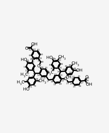 Cc1cc(C(c2cc(C)c(O)cc2C)c2cc(Cc3ccc(OCc4ccc(C(=O)O)cc4)c(C(c4cc(C)c(O)cc4C)c4cc(C)c(O)cc4C)c3)ccc2OCc2ccc(C(=O)O)cc2)c(C)cc1O